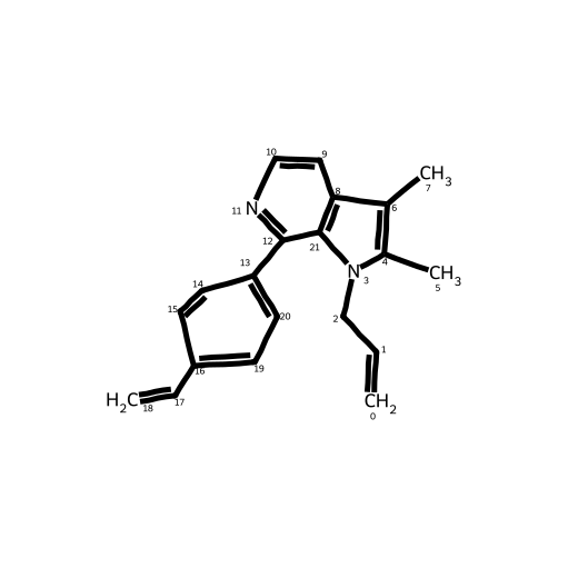 C=CCn1c(C)c(C)c2ccnc(-c3ccc(C=C)cc3)c21